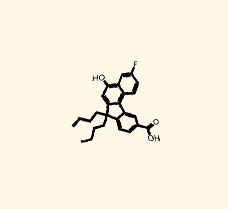 CCCCC1(CCCC)c2ccc(C(=O)O)cc2-c2c1cc(O)c1cc(F)ccc21